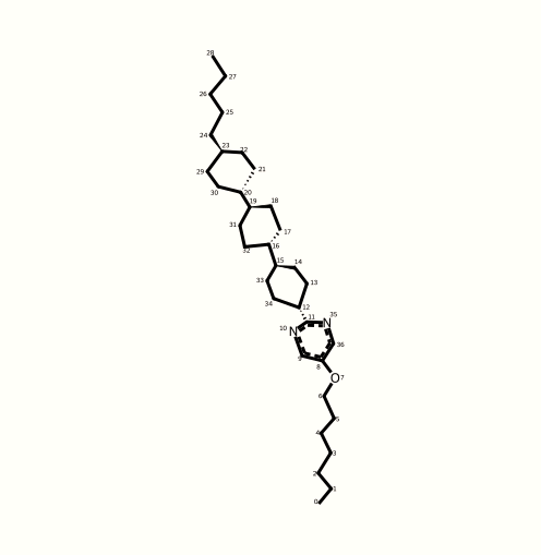 CCCCCCCOc1cnc([C@H]2CC[C@H]([C@H]3CC[C@H]([C@H]4CC[C@H](CCCCC)CC4)CC3)CC2)nc1